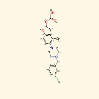 Cc1c(N2CCN(Cc3cccc(F)c3)CC2)ccc2oc(OC(=O)O)cc12